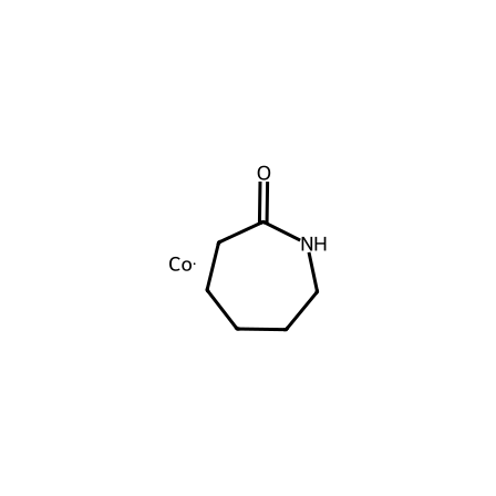 O=C1CCCCCN1.[Co]